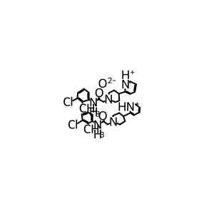 Cc1c(Cl)cccc1NC(=O)CN1CCC(c2cccc[nH+]2)CC1.Cc1c(Cl)cccc1NC(=O)CN1CCC(c2cccc[nH+]2)CC1.[O-2]